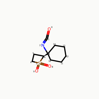 O=C=NC1([C@@H]2CCS2(=O)=O)CCCCC1